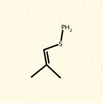 CC(C)=CSP